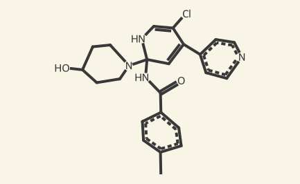 Cc1ccc(C(=O)NC2(N3CCC(O)CC3)C=C(c3ccncc3)C(Cl)=CN2)cc1